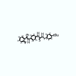 CC(C)(C)c1ccc(CNC(=S)Nc2ccc(NC(=O)c3ccccc3F)cc2)cc1